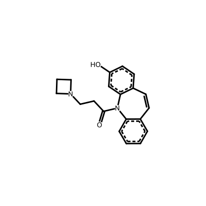 O=C(CCN1CCC1)N1c2ccccc2C=Cc2ccc(O)cc21